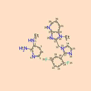 CCNc1cccnc1N.CCn1c(Cn2ccnc2-c2cc(F)ccc2F)nc2ncccc21